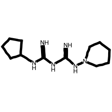 N=C(NC(=N)NN1CCCCC1)NC1CCCC1